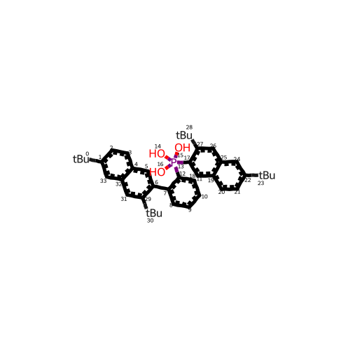 CC(C)(C)c1ccc2cc(-c3ccccc3P(O)(O)(O)c3cc4ccc(C(C)(C)C)cc4cc3C(C)(C)C)c(C(C)(C)C)cc2c1